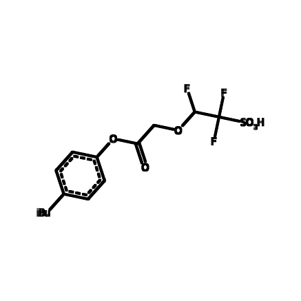 CCC(C)c1ccc(OC(=O)COC(F)C(F)(F)S(=O)(=O)O)cc1